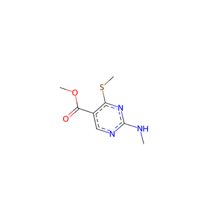 CNc1ncc(C(=O)OC)c(SC)n1